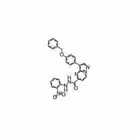 O=C(NNc1ccccc1[N+](=O)[O-])c1ccn2ncc(-c3ccc(OCc4ccccc4)cc3)c2n1